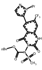 CCCCOC(=O)N(n1c(=O)[nH]c2cc(C(F)(F)F)c(-c3ccnn3C(C)C)cc2c1=O)S(C)(=O)=O